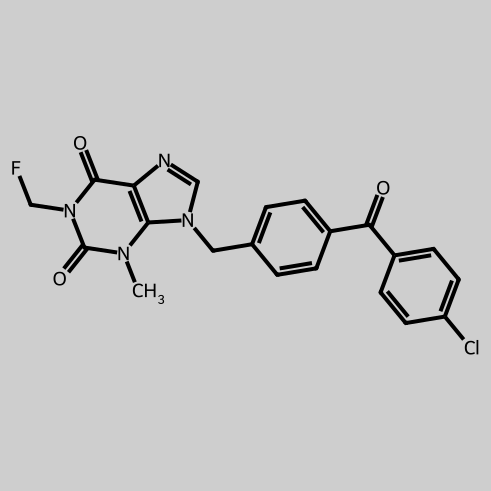 Cn1c(=O)n(CF)c(=O)c2ncn(Cc3ccc(C(=O)c4ccc(Cl)cc4)cc3)c21